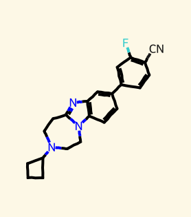 N#Cc1ccc(-c2ccc3c(c2)nc2n3CCN(C3CCC3)CC2)cc1F